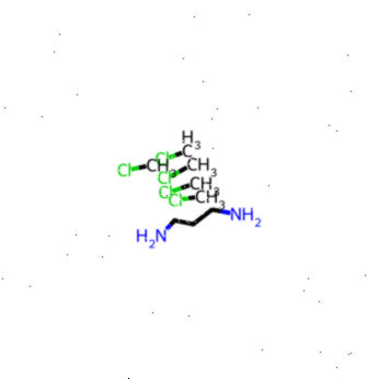 CCl.CCl.CCl.CCl.CCl.NCCCN